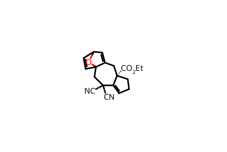 CCOC(=O)[C@]12CCC=C1C(C#N)(C#N)CC13C=CC(C=C1C2)O3